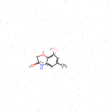 Bc1cc(C)cc2c1OCC(=O)N2